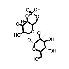 O=P1(O)OCC2O[C@H](O[C@H]3OC(CO)[C@@H](O)C(O)C3O)C(O)C(O)[C@@H]2O1